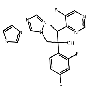 CC(c1ncncc1F)C(O)(Cn1cncn1)c1ccc(F)cc1F.c1cscn1